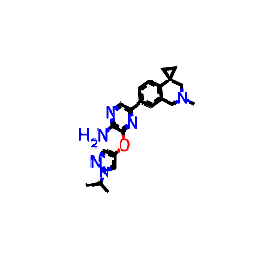 CC(C)n1cc(Oc2nc(-c3ccc4c(c3)CN(C)CC43CC3)cnc2N)cn1